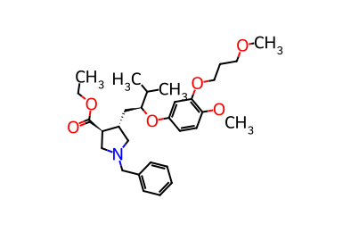 CCOC(=O)[C@@H]1CN(Cc2ccccc2)C[C@H]1C[C@H](Oc1ccc(OC)c(OCCCOC)c1)C(C)C